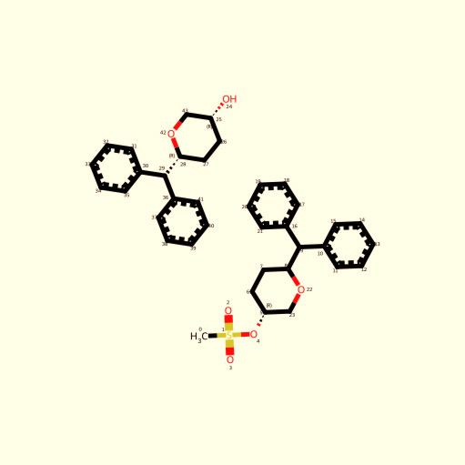 CS(=O)(=O)O[C@@H]1CCC(C(c2ccccc2)c2ccccc2)OC1.O[C@@H]1CC[C@H](C(c2ccccc2)c2ccccc2)OC1